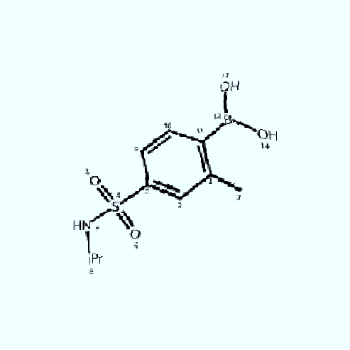 Cc1cc(S(=O)(=O)NC(C)C)ccc1B(O)O